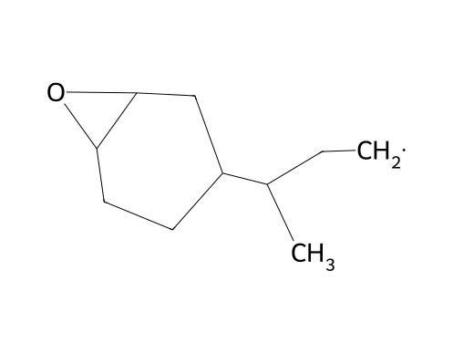 [CH2]CC(C)C1CCC2OC2C1